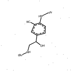 CCCNc1ccc(C(O)CNC(C)(C)C)cc1C#N